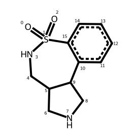 O=S1(=O)NCC2CNCC2c2ccccc21